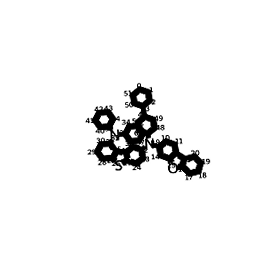 c1ccc(-c2ccc(N(c3ccc4c(c3)oc3ccccc34)c3ccc4sc5cccc(N(c6ccccc6)c6ccccc6)c5c4c3)cc2)cc1